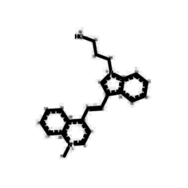 C[n+]1ccc(/C=C/c2cn(CCCO)c3ccccc23)c2ccccc21